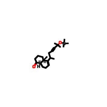 CC(CC#CC(C)(C)O[Si](C)(C)C)C1=CCC[C@H]2C(=O)CCC[C@]12C